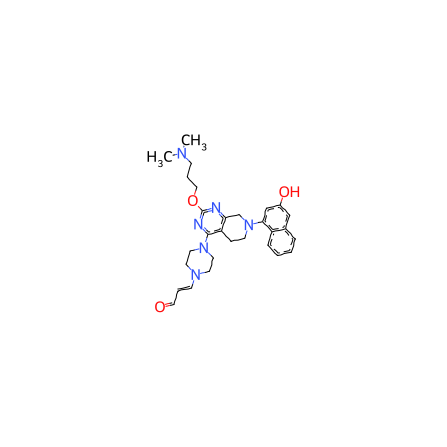 CN(C)CCCOc1nc2c(c(N3CCN(C=CC=O)CC3)n1)CCN(c1cc(O)cc3ccccc13)C2